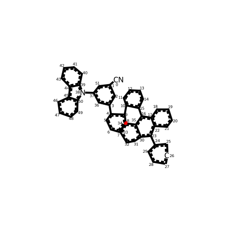 N#Cc1cc(-c2ccccc2-c2ccccc2-c2c3ccccc3c(-c3ccccc3)c3ccccc23)cc(-n2c3ccccc3c3ccccc32)c1